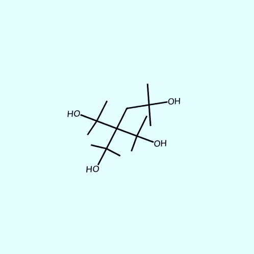 CC(C)(O)CC(C(C)(C)O)(C(C)(C)O)C(C)(C)O